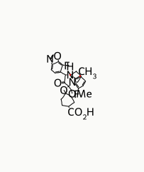 COCC(OC1CCC(C(=O)O)CC1)(C(=O)C(Nc1cc(F)ccc1C)c1ccc2ncoc2c1F)N1CCCC1